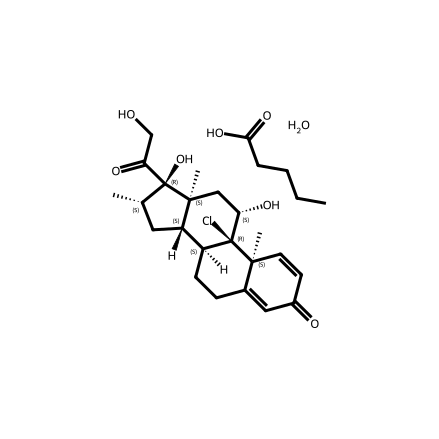 CCCCC(=O)O.C[C@H]1C[C@H]2[C@@H]3CCC4=CC(=O)C=C[C@]4(C)[C@@]3(Cl)[C@@H](O)C[C@]2(C)[C@@]1(O)C(=O)CO.O